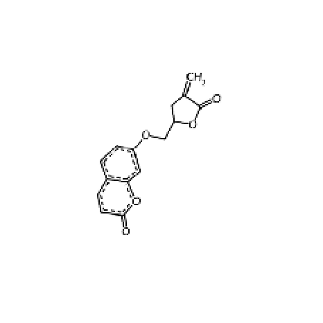 C=C1CC(COc2ccc3ccc(=O)oc3c2)OC1=O